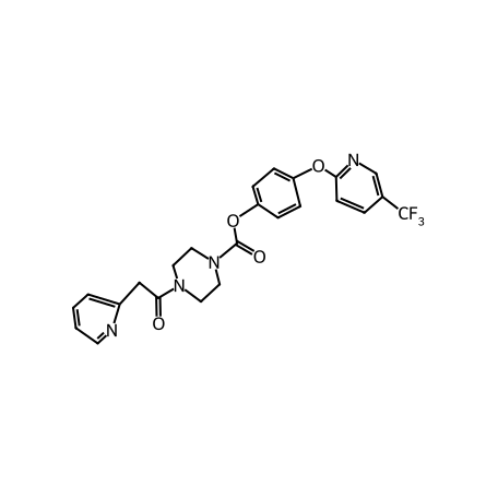 O=C(Cc1ccccn1)N1CCN(C(=O)Oc2ccc(Oc3ccc(C(F)(F)F)cn3)cc2)CC1